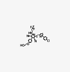 N#Cc1c(NCCC(F)(F)F)nc(SCc2csc(-c3ccc(Cl)cc3)n2)c(C#N)c1-c1ccc(OCCO)cc1